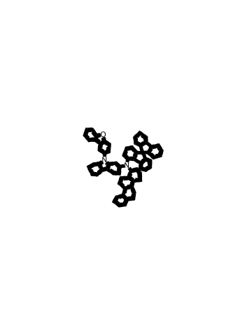 c1ccc2c(c1)-c1ccccc1C21c2ccccc2-c2c(N(c3ccc4c5ccccc5n(-c5ccc6oc7ccccc7c6c5)c4c3)c3cccc4c3ccc3c5ccccc5ccc43)cccc21